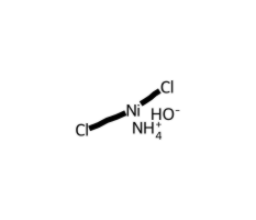 [Cl][Ni][Cl].[NH4+].[OH-]